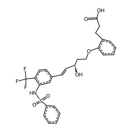 O=C(O)CCc1ccccc1OCC[C@@H](O)/C=C/c1ccc(C(F)(F)F)c(NS(=O)(=O)c2ccccc2)c1